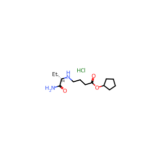 CC[C@H](NCCCC(=O)OC1CCCC1)C(N)=O.Cl